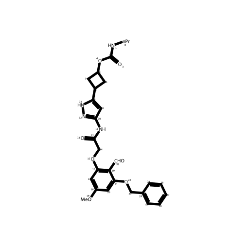 CCCNC(=O)OC1CC(c2cc(NC(=O)COc3cc(OC)cc(OCc4ccccc4)c3C=O)n[nH]2)C1